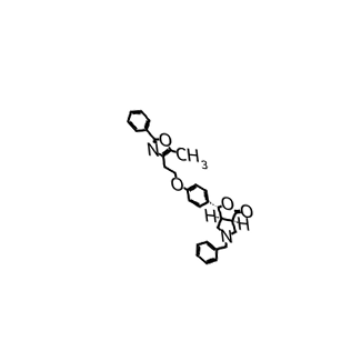 Cc1oc(-c2ccccc2)nc1CCOc1ccc([C@@H]2OC(=O)[C@H]3CN(Cc4ccccc4)C[C@H]32)cc1